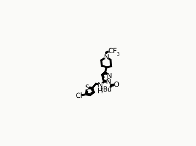 CC(C)(C)C(=O)n1nc(C2CCN(CC(F)(F)F)CC2)cc1NCc1ccc(Cl)s1